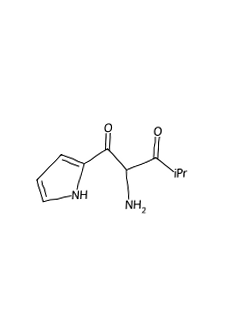 CC(C)C(=O)C(N)C(=O)c1ccc[nH]1